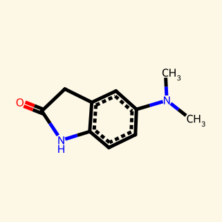 CN(C)c1ccc2c(c1)CC(=O)N2